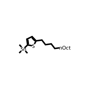 CCCCCCCCCCCCc1cc[c]([Sn]([CH3])([CH3])[CH3])s1